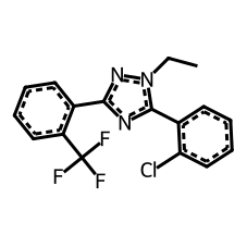 CCn1nc(-c2ccccc2C(F)(F)F)nc1-c1ccccc1Cl